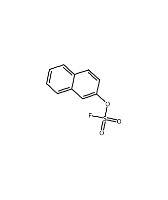 O=S(=O)(F)Oc1ccc2ccccc2c1